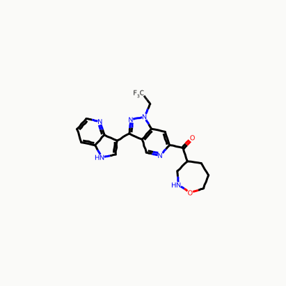 O=C(c1cc2c(cn1)c(-c1c[nH]c3cccnc13)nn2CC(F)(F)F)C1CCCONC1